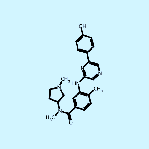 Cc1ccc(C(=O)N(C)C2CCN(C)C2)cc1Nc1cncc(-c2ccc(O)cc2)n1